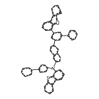 c1ccc(-c2ccc(N(c3ccc4cc(-c5cc(-c6ccccc6)cc(-c6cccc7c6oc6ccccc67)c5)ccc4c3)c3cccc4c3sc3ccccc34)cc2)cc1